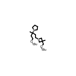 CC1(COC(C)(C)C)CN(CCC(C)(CCOC(C)(C)C)N2CCCC2)C1